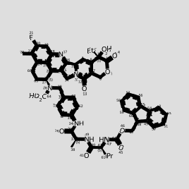 CC[C@@]1(O)C(=O)OCc2c1cc1n(c2=O)Cc2c-1nc1cc(F)c(C)c3c1c2[C@@H](N(Cc1ccc(NC(=O)[C@H](C)NC(=O)[C@@H](NC(=O)OCC2c4ccccc4-c4ccccc42)C(C)C)cc1)C(=O)O)CC3